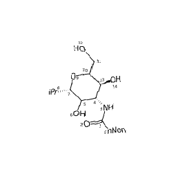 CCCCCCCCCC(=O)N[C@@H]1C(O)[C@H](C(C)C)OC(CO)[C@H]1O